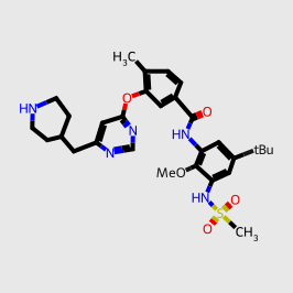 COc1c(NC(=O)c2ccc(C)c(Oc3cc(CC4CCNCC4)ncn3)c2)cc(C(C)(C)C)cc1NS(C)(=O)=O